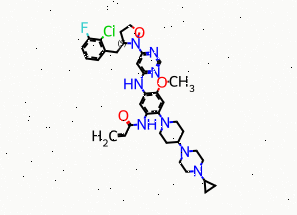 C=CC(=O)Nc1cc(Nc2cc(N3OCC[C@@H]3Cc3cccc(F)c3Cl)ncn2)c(OC)cc1N1CCC(N2CCN(C3CC3)CC2)CC1